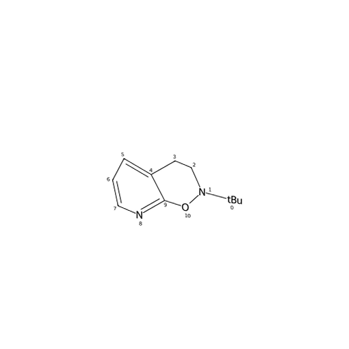 CC(C)(C)N1CCc2cccnc2O1